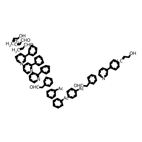 C=CC=O.C=CC=O.C=CCO.C=CCO.CC(=O)c1ccccc1.CC(=O)c1ccccc1.CC(=O)c1ccccc1.O=CCc1ccccc1.O=CCc1ccccc1.c1ccc(-c2ccccn2)cc1.c1ccc(-c2ccccn2)cc1.c1ccc(-c2cccnc2)cc1.c1ccc(-c2cccnc2)cc1